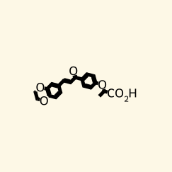 CC(Oc1ccc(C(=O)/C=C/c2ccc3c(c2)OCCO3)cc1)C(=O)O